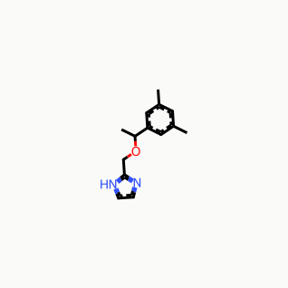 Cc1cc(C)cc(C(C)OCc2ncc[nH]2)c1